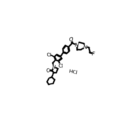 Cl.O=C(c1ccc(-c2cc(Cl)c(CN3CCC(C4CCCCC4)C3=O)c(Cl)c2)cc1)N1CCN(CCF)CC1